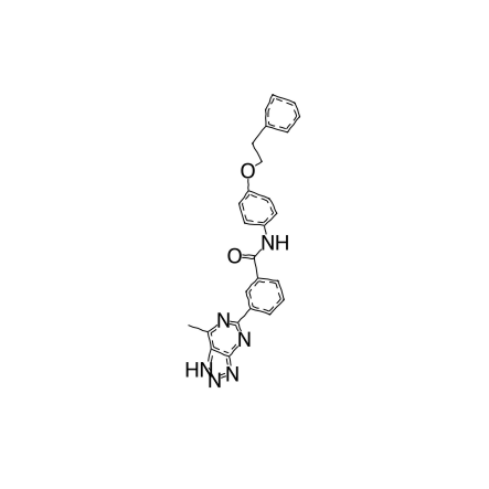 Cc1nc(-c2cccc(C(=O)Nc3ccc(OCCc4ccccc4)cc3)c2)nc2nn[nH]c12